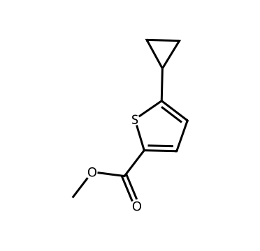 COC(=O)c1ccc(C2CC2)s1